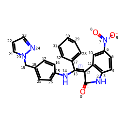 O=C1Nc2ccc([N+](=O)[O-])cc2/C1=C(/Nc1ccc(Cn2cccn2)cc1)c1ccccc1